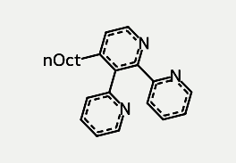 CCCCCCCCc1ccnc(-c2ccccn2)c1-c1ccccn1